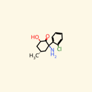 C[C@@H]1C[C@@H](O)C(=O)[C@](N)(c2ccccc2Cl)C1